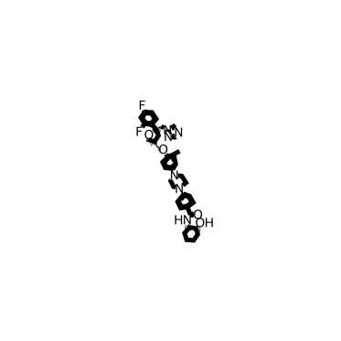 Cc1cc(N2CCN(c3ccc(C(=O)N[C@H]4CCCC[C@@H]4O)cc3)CC2)ccc1OC[C@@H]1CO[C@@](Cn2cncn2)(c2ccc(F)cc2F)C1